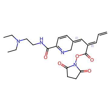 C=C/C=C(\C=C1\C=CC(C(=O)NCCN(CC)CC)=NC1)C(=O)ON1C(=O)CCC1=O